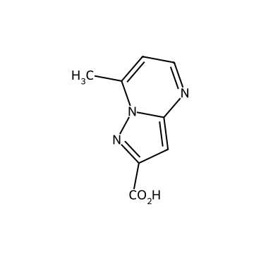 Cc1ccnc2cc(C(=O)O)nn12